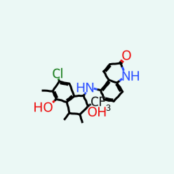 Cc1c(Cl)cc2c(c1O)C(C)C(C)C(O)(C(F)(F)F)C2Nc1cccc2[nH]c(=O)ccc12